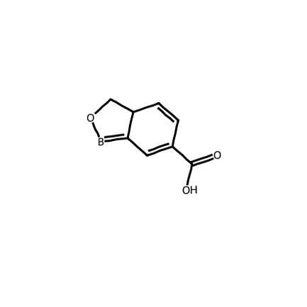 O=C(O)C1=CC2=BOCC2C=C1